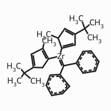 CC1=[C]([Zr]([C]2=CC(C(C)(C)C)=CC2C)=[C](c2ccccc2)c2ccccc2)CC(C(C)(C)C)=C1